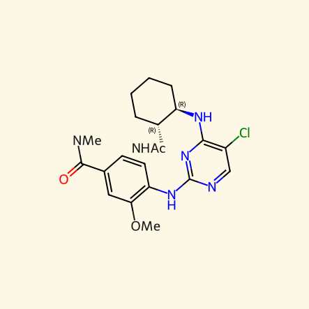 CNC(=O)c1ccc(Nc2ncc(Cl)c(N[C@@H]3CCCC[C@H]3NC(C)=O)n2)c(OC)c1